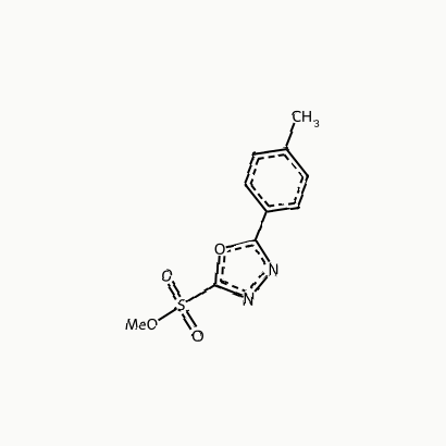 COS(=O)(=O)c1nnc(-c2ccc(C)cc2)o1